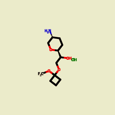 Cl.N[C@@H]1CC[C@@H](C(O)COC2(OC(F)(F)F)CCC2)OC1